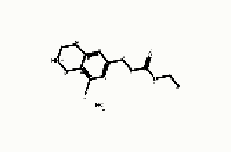 CCOC(=O)CCc1cc(F)c2c(c1)CCNC2.Cl